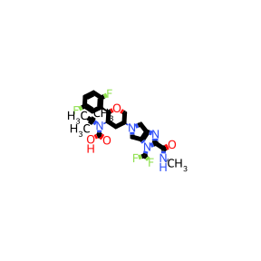 CNC(=O)c1nc2c(n1C(F)F)CN([C@H]1CO[C@H](c3cc(F)ccc3F)[C@@H](N(C(=O)O)C(C)(C)C)C1)C2